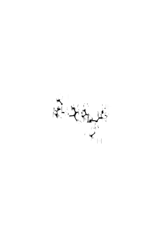 Nc1nc(/C(=N/OCC(=O)O)C(=O)NC2C(=O)N3C(C(=O)O)=C(CSc4nnnn4CC(=O)O)CS[C@H]23)ns1